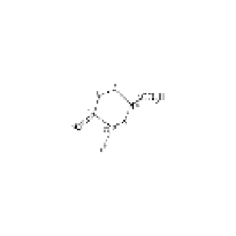 O=C1CCN(C(=O)O)C[C@@H]1F